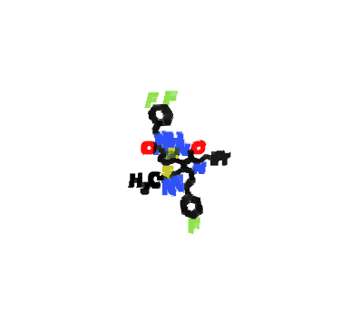 Cc1nnc(-c2c(CCc3ccc(F)cc3)nc(CC(C)C)c(C(N)=O)c2-c2ccc(C(=O)NCc3ccc(F)c(F)c3)s2)s1